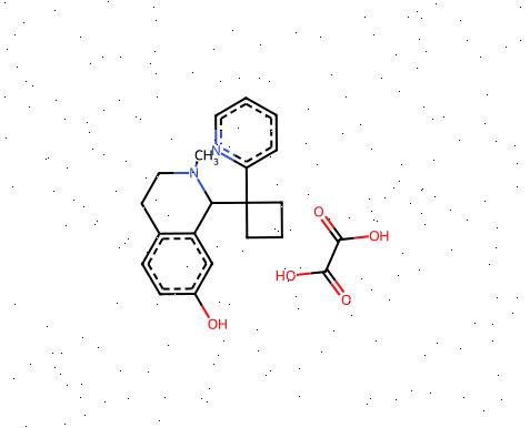 CN1CCc2ccc(O)cc2C1C1(c2ccccn2)CCC1.O=C(O)C(=O)O